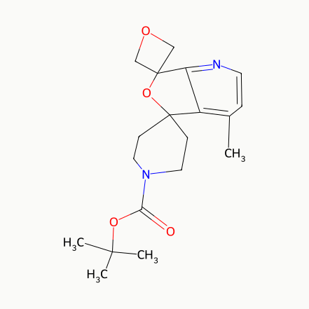 Cc1ccnc2c1C1(CCN(C(=O)OC(C)(C)C)CC1)OC21COC1